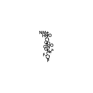 CNC(=O)Nc1ccc2c(c1)CC[C@@]21OC(=O)N(CC(=O)N(Cc2ccc(F)cc2F)[C@@H](C)C2CC2)C1=O